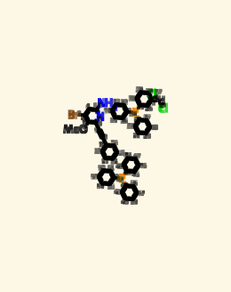 COc1c(Br)cc(N)nc1C#Cc1ccccc1.[Cl][Pd][Cl].c1ccc(P(c2ccccc2)c2ccccc2)cc1.c1ccc(P(c2ccccc2)c2ccccc2)cc1